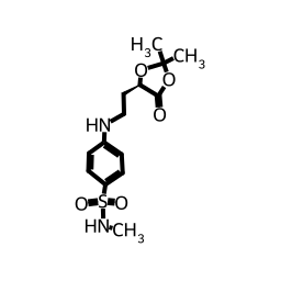 CNS(=O)(=O)c1ccc(NCC[C@H]2OC(C)(C)OC2=O)cc1